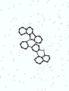 c1ccc(-n2c3ccccc3c3ccc4ccccc4c32)c(-c2ccc3c(c2)-c2cccc4cccc(c24)S3)c1